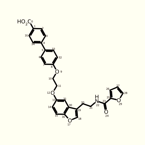 O=C(O)c1ccc(-c2ccc(OCCOc3ccc4occ(CCNC(=O)c5ccco5)c4c3)cc2)cc1